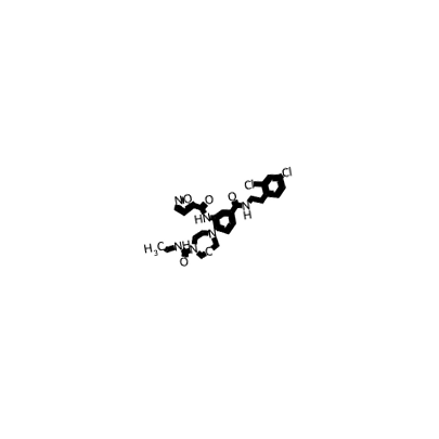 CCNC(=O)N1CCCN(c2ccc(C(=O)NCCc3ccc(Cl)cc3Cl)cc2NC(=O)c2ccno2)CC1